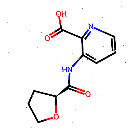 O=C(O)c1ncccc1NC(=O)[C@@H]1CCCO1